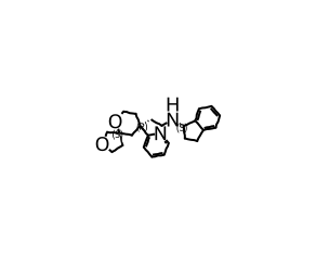 c1ccc([C@]2(CCN[C@H]3CCc4ccccc43)CCO[C@]3(CCOC3)C2)nc1